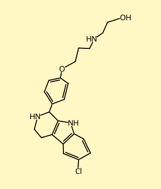 OCCNCCCOc1ccc(C2NCCc3c2[nH]c2ccc(Cl)cc32)cc1